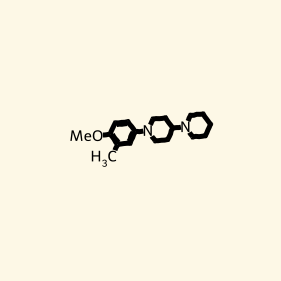 COc1ccc(N2CCC(N3CCCCC3)CC2)cc1C